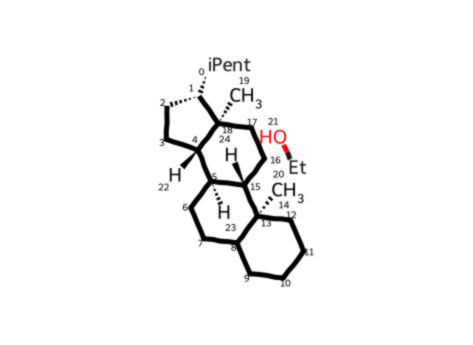 CCC[C@@H](C)[C@H]1CC[C@H]2[C@@H]3CCC4CCCC[C@]4(C)[C@H]3CC[C@]12C.CCO